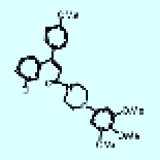 COc1ccc(/C(=C/C(=O)N2CCN(c3cc(OC)c(OC)c(OC)c3)CC2)c2cccc(Cl)c2)cc1